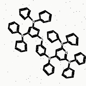 c1ccc(N(c2ccccc2)c2cc(Sc3cccc(N(c4ccccc4)c4cc(N(c5ccccc5)c5ccccc5)nc(N(c5ccccc5)c5ccccc5)c4)c3)cc(N(c3ccccc3)c3ccccc3)c2)cc1